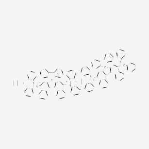 Cc1ccccc1N(c1ccccc1)c1cc2c(c3ccccc13)-c1c(cc(N(c3cccc(-c4cccc(N(c5ccccc5)c5cc6c(c7ccccc57)-c5c(cc(N(c7ccccc7)c7ccccc7)c7ccccc57)C65c6ccccc6-c6ccccc65)c4)c3)c3ccccc3C)c3ccccc13)C21c2ccccc2-c2ccccc21